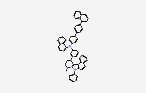 CC1CC=C(c2cccc(N(c3ccc(-c4ccc(-c5cccc6ccccc56)cc4)cc3)c3cccc4ccccc34)c2)c2c1n(-c1ccccc1)c1ccc3ccccc3c21